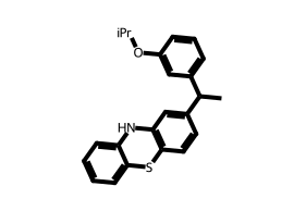 CC(C)Oc1cccc(C(C)c2ccc3c(c2)Nc2ccccc2S3)c1